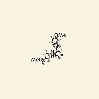 COC(=O)C1CCC(Nc2ccncc2-c2nc3cc(OC)ccc3s2)CC1